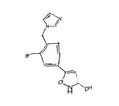 OC1C=C(c2ccc(Cn3ccnc3)c(Br)c2)ON1